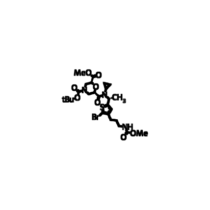 COC(=O)NCCCc1cc([C@@H](C)N(C(=O)[C@H]2CN(C(=O)OC(C)(C)C)C[C@@H](C(=O)OC)O2)C2CC2)sc1Br